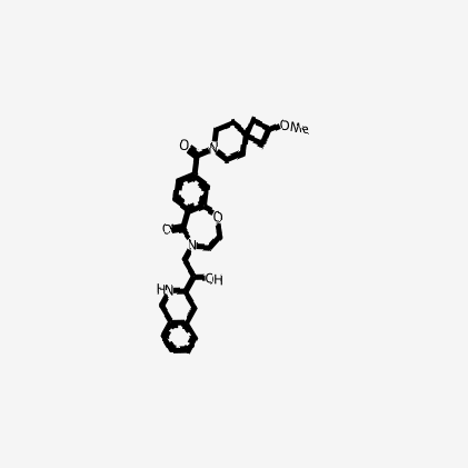 COC1CC2(CCN(C(=O)c3ccc4c(c3)OCCN(CC(O)C3Cc5ccccc5CN3)C4=O)CC2)C1